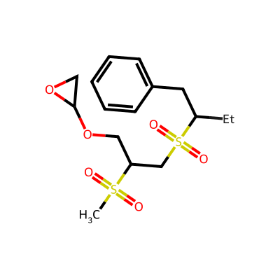 CCC(Cc1ccccc1)S(=O)(=O)CC(COC1CO1)S(C)(=O)=O